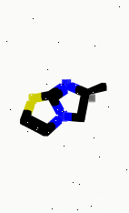 C[C@H]1CN2C=CSC2=N1